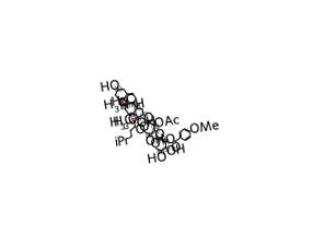 COc1ccc(C(=O)O[C@H]2[C@H](O[C@@H]3[C@@H](OC(C)=O)[C@@H](O[C@H]4C[C@H]5[C@]6(C)CC=C7C[C@@H](O)CC[C@]7(C)[C@H]6CC[C@]5(C)[C@@]4(O)[C@H](C)C(=O)CCC(C)C)OC[C@@H]3O)OC[C@@H](O)[C@@H]2O)cc1